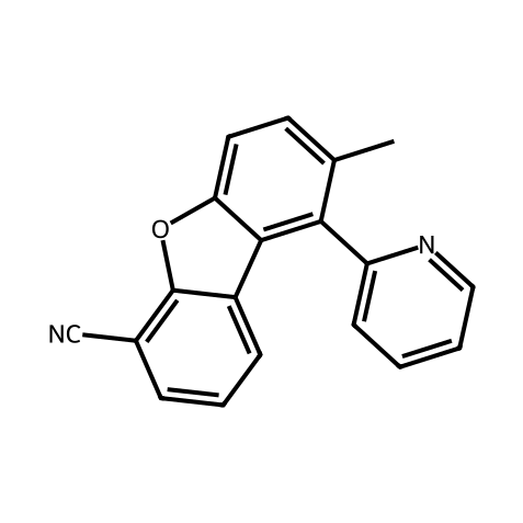 Cc1ccc2oc3c(C#N)cccc3c2c1-c1ccccn1